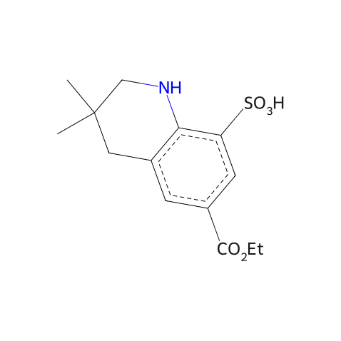 CCOC(=O)c1cc2c(c(S(=O)(=O)O)c1)NCC(C)(C)C2